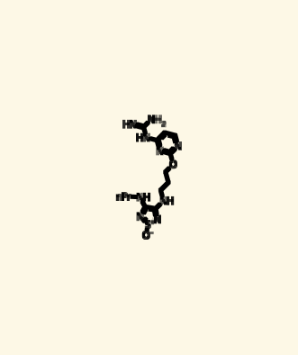 CCCNc1n[s+]([O-])nc1NCCCOc1nccc(NC(=N)N)n1